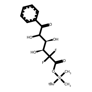 CC(C)(C)[Si](C)(C)OC(=O)C(F)(F)[C@@H](O)[C@H](O)C(O)C(=O)c1ccccc1